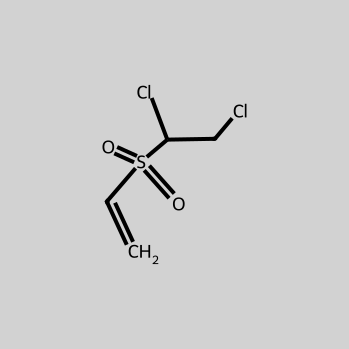 C=CS(=O)(=O)C(Cl)CCl